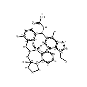 CCn1nnc2c(C)c([C@@H](CC(=O)O)c3ccc(C)c(CN4C[C@H]5CCCN5c5ncccc5S4(=O)=O)n3)ccc21